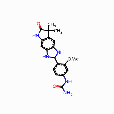 COc1cc(NC(N)=O)ccc1C1Nc2cc3c(cc2N1)C(C)(C)C(=O)N3